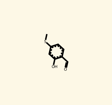 CSc1ccc(C=O)c(O)c1